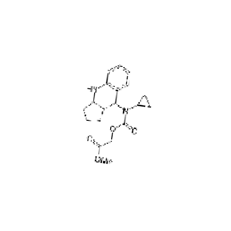 COC(=O)COC(=O)N(C1CC1)C1c2ccccc2NC2CCCC21